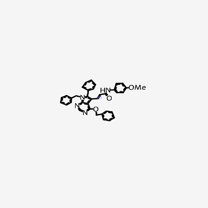 COc1ccc(NC(=O)/C=C/c2c(-c3ccccc3)n(Cc3ccccc3)c3ncnc(OCc4ccccc4)c23)cc1